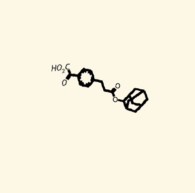 O=C(CCc1ccc(C(=O)C(=O)O)cc1)OC1C2CC3CC(C2)CC1C3